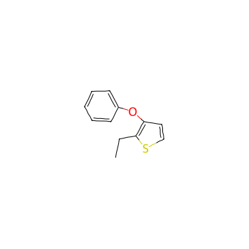 CCc1sccc1Oc1ccccc1